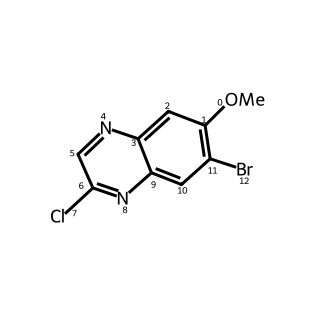 COc1cc2ncc(Cl)nc2cc1Br